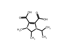 CC(C)N1C(C(=O)O)=C(C(=O)O)N(C)C1C